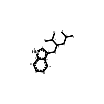 CC(C)C[C](Cc1c[nH]c2ccccc12)C(C)C